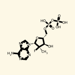 C[C@@]1(F)[C@H](O)[C@@H](COP(=O)(O)OP(=O)(O)O)O[C@H]1n1cnc2c(N)ncnc21